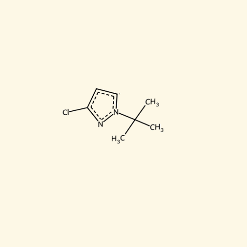 CC(C)(C)n1[c]cc(Cl)n1